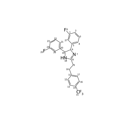 Fc1cccc(C2N=C(CCc3ccc(C(F)(F)F)cc3)NC2c2cccc(F)c2)c1